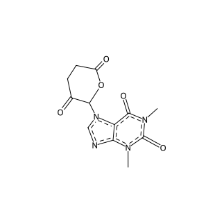 Cn1c(=O)c2c(ncn2C2OC(=O)CCC2=O)n(C)c1=O